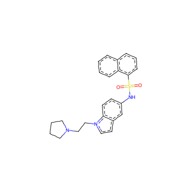 O=S(=O)(Nc1ccc2c(ccn2CCN2CCCC2)c1)c1cccc2ccccc12